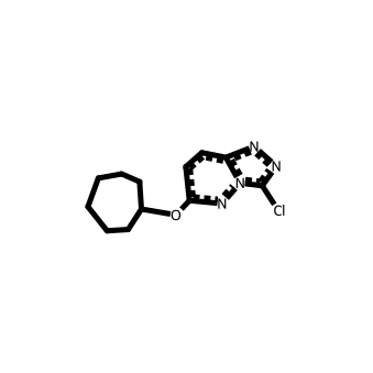 Clc1nnc2ccc(OC3CCCCCC3)nn12